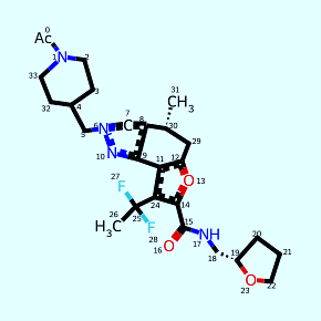 CC(=O)N1CCC(Cn2cc3c(n2)-c2c(oc(C(=O)NC[C@@H]4CCCO4)c2C(C)(F)F)C[C@H]3C)CC1